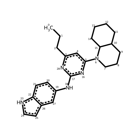 CCCc1cc(N2CCCC3CCCCC32)nc(Nc2ccc3[nH]ccc3c2)n1